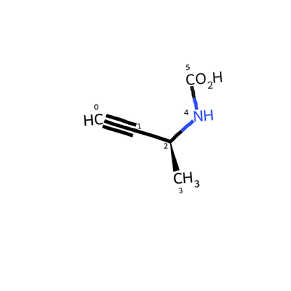 C#C[C@H](C)NC(=O)O